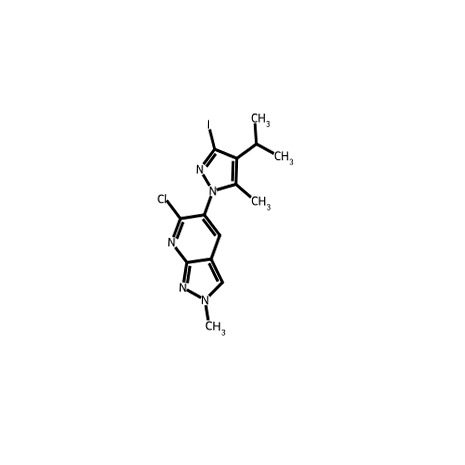 Cc1c(C(C)C)c(I)nn1-c1cc2cn(C)nc2nc1Cl